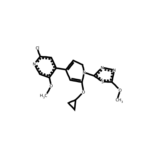 COc1nnc(N2CC=C(c3cc(Cl)ncc3OC)C=C2OC2CC2)s1